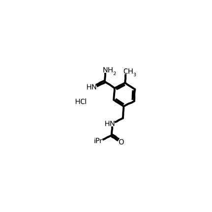 Cc1ccc(CNC(=O)C(C)C)cc1C(=N)N.Cl